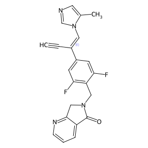 C#C/C(=C\n1cncc1C)c1cc(F)c(CN2Cc3ncccc3C2=O)c(F)c1